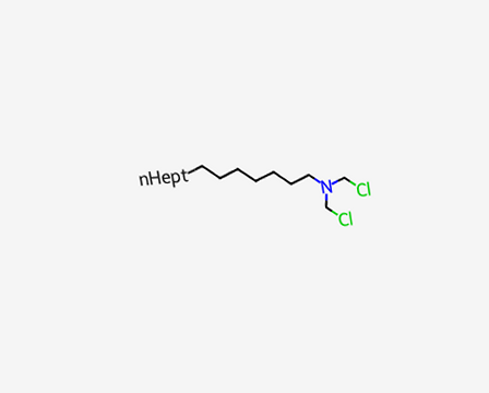 CCCCCCCCCCCCCCN(CCl)CCl